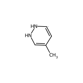 CC1=CNN[C]=C1